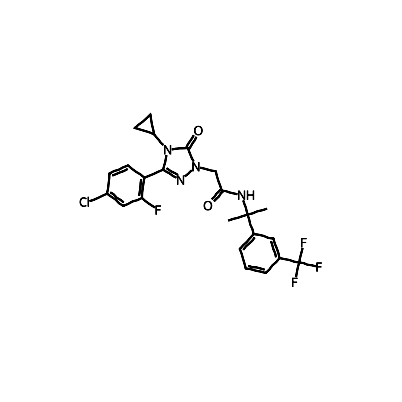 CC(C)(NC(=O)Cn1nc(-c2ccc(Cl)cc2F)n(C2CC2)c1=O)c1cccc(C(F)(F)F)c1